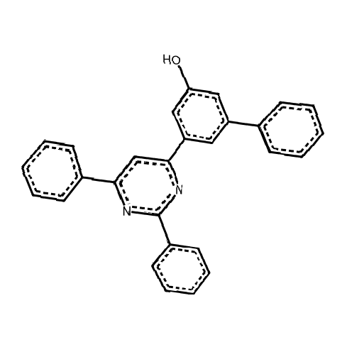 Oc1cc(-c2ccccc2)cc(-c2cc(-c3ccccc3)nc(-c3ccccc3)n2)c1